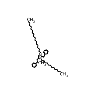 CCCCCCCCCCCCCCCCCCCn1cc(CC(C)c2ccccc2)[n+](CCCCCCCCCCCCC)c1Cc1ccccc1